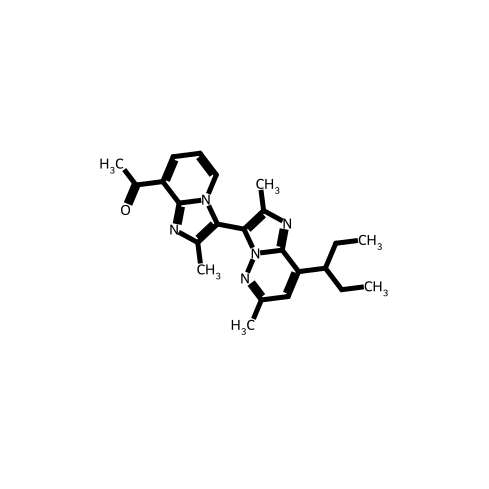 CCC(CC)c1cc(C)nn2c(-c3c(C)nc4c(C(C)=O)cccn34)c(C)nc12